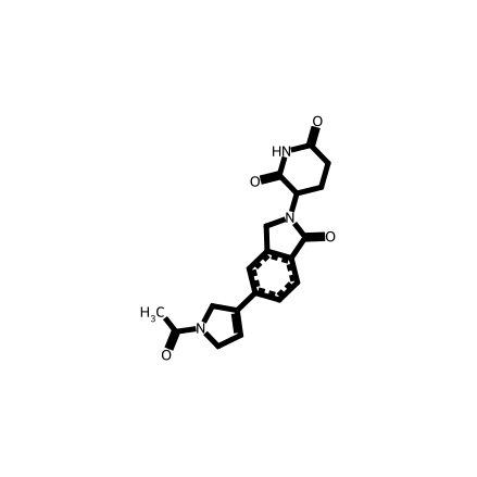 CC(=O)N1CC=C(c2ccc3c(c2)CN(C2CCC(=O)NC2=O)C3=O)C1